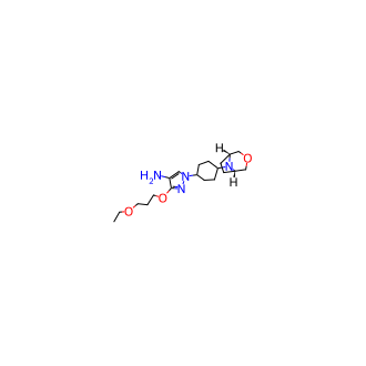 CCOCCCOc1nn(C2CCC(N3[C@@H]4CC[C@H]3COC4)CC2)cc1N